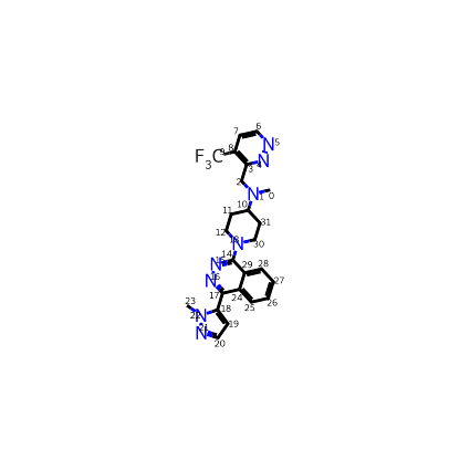 CN(Cc1nnccc1C(F)(F)F)C1CCN(c2nnc(-c3ccnn3C)c3ccccc23)CC1